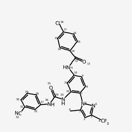 Cc1cc(C(F)(F)F)nn1-c1ccc(NC(=O)c2ccc(Cl)cc2)cc1NC(=O)Nc1cccc(C#N)c1